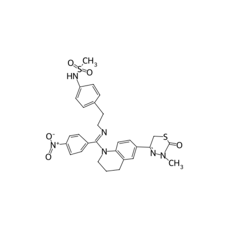 CN1N=C(c2ccc3c(c2)CCCN3C(=NCCc2ccc(NS(C)(=O)=O)cc2)c2ccc([N+](=O)[O-])cc2)CSC1=O